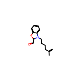 C=C(C)CCCCN1c2ccccc2OC1C=O